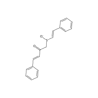 O=C(/C=C/c1ccccc1)C[S+]([O-])/C=C/c1ccccc1